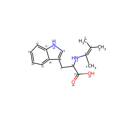 CC(C)=C(C)NC(Cc1c[nH]c2ccccc12)C(=O)O